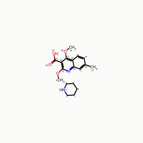 C1CCNCC1.COc1nc2cc(C)ccc2c(OC)c1C(=O)O